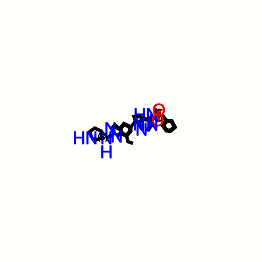 CCc1cc(-c2ccc3c(NS(=O)(=O)Cc4ccccc4)ncnn23)cc2cnc(N[C@H]3CCCNC3)nc12